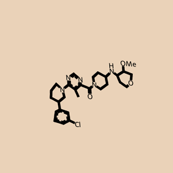 COC1COCCC1NC1CCN(C(=O)c2ncnc(N3CCCC(c4cccc(Cl)c4)C3)c2C)CC1